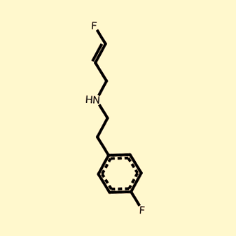 FC=CCNCCc1ccc(F)cc1